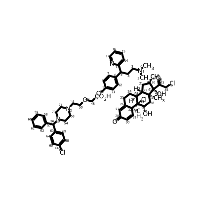 CN(C)CCC(c1ccc(Cl)cc1)c1ccccn1.C[C@@H]1C[C@H]2[C@@H]3CCC4=CC(=O)C=C[C@]4(C)[C@@]3(Cl)[C@@H](O)C[C@]2(C)[C@@]1(O)C(=O)CCl.O=C(O)COCCN1CCN(C(c2ccccc2)c2ccc(Cl)cc2)CC1